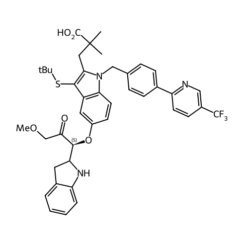 COCC(=O)[C@@H](Oc1ccc2c(c1)c(SC(C)(C)C)c(CC(C)(C)C(=O)O)n2Cc1ccc(-c2ccc(C(F)(F)F)cn2)cc1)C1Cc2ccccc2N1